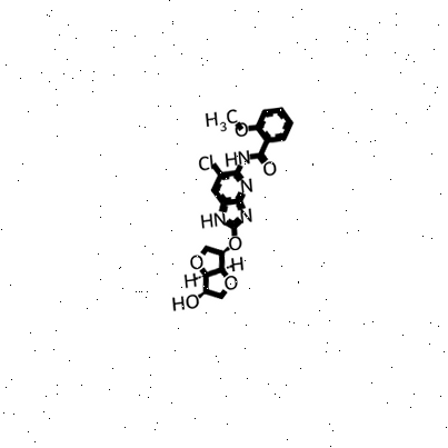 COc1ccccc1C(=O)Nc1nc2nc(O[C@@H]3CO[C@H]4[C@@H]3OC[C@H]4O)[nH]c2cc1Cl